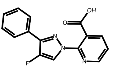 O=C(O)c1cccnc1-n1cc(F)c(-c2ccccc2)n1